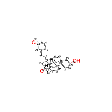 COc1cccc(CCC2CC(=O)[C@@]3(C)CC[C@@H]4c5ccc(O)cc5CC[C@H]4[C@H]23)c1